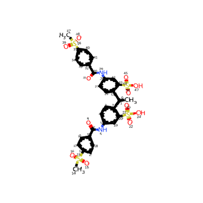 CC(c1ccc(NC(=O)c2ccc(S(C)(=O)=O)cc2)cc1S(=O)(=O)O)c1ccc(NC(=O)c2ccc(S(C)(=O)=O)cc2)cc1S(=O)(=O)O